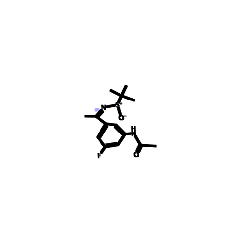 CC(=O)Nc1cc(F)cc(/C(C)=N\[S+]([O-])C(C)(C)C)c1